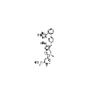 CCCCc1nc(Cl)c(C[C@@H](C)OC(=O)CC(C(=O)O)N(C)C)n1Cc1ccc(-c2ccccc2-c2nn[nH]n2)cc1